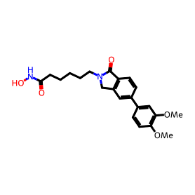 COc1ccc(-c2ccc3c(c2)CN(CCCCCC(=O)NO)C3=O)cc1OC